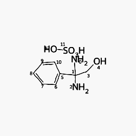 NC(N)(CO)c1ccccc1.O=S(=O)(O)O